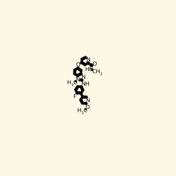 CNC(=O)c1cc(Oc2ccc3c(c2)nc(Nc2ccc(F)c(-c4ccc(OC)nc4)c2)n3C)ccn1